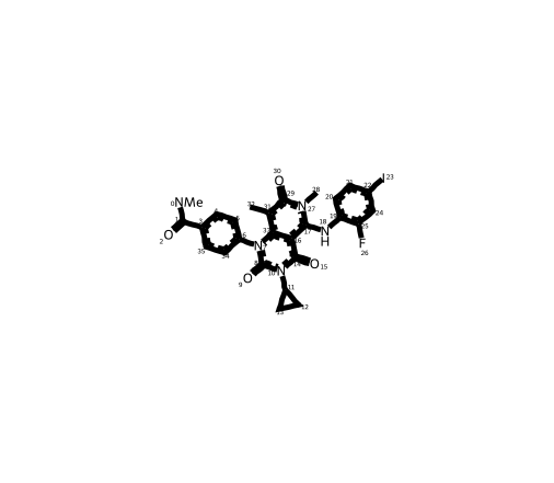 CNC(=O)c1ccc(-n2c(=O)n(C3CC3)c(=O)c3c(Nc4ccc(I)cc4F)n(C)c(=O)c(C)c32)cc1